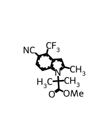 COC(=O)C(C)(C)n1c(C)cc2c(C(F)(F)F)c(C#N)ccc21